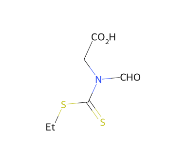 CCSC(=S)N(C=O)CC(=O)O